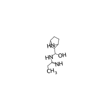 CCC(=N)NC(O)C1CC2CCC1N2